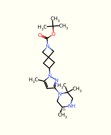 Cc1cc(N2C[C@H](C)NCC2(C)C)nn1C1CC2(C1)CN(C(=O)OC(C)(C)C)C2